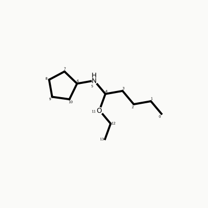 CCCCC(NC1CCCC1)OCC